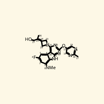 CNc1cc(F)cc2c1[nH]c1nc(Oc3cnc(C)nc3)nc(N3CC(=C(C)CO)C3)c12